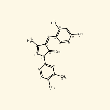 CC1=NN(c2ccc(C)c(C)c2)C(=O)/C1=C\c1ccc(O)cc1O